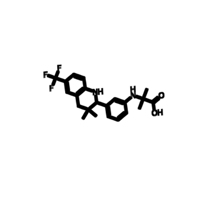 CC(C)(Nc1cccc(C2Nc3ccc(C(F)(F)F)cc3CC2(C)C)c1)C(=O)O